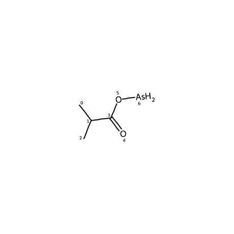 CC(C)C(=O)O[AsH2]